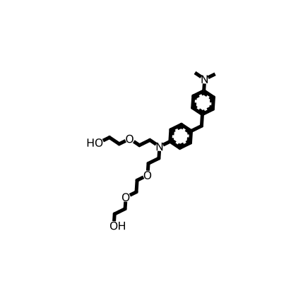 CN(C)c1ccc(Cc2ccc(N(CCOCCO)CCOCCOCCO)cc2)cc1